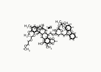 COCCOCOc1c(OC)c(C)cc2c1[C@H]1C3Cc4c(O)c(C)c5c(c4[C@H](COC(CSCC4c6ccccc6-c6ccccc64)NC(=O)OC(C)(C)C)N3[C@@H](C#N)[C@@H](C2)N1C)OCO5